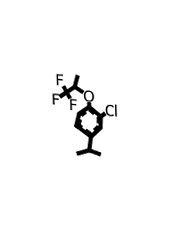 CC(C)c1ccc(OC(C)C(F)(F)F)c(Cl)c1